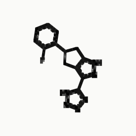 Fc1ccccc1C1Cc2[nH]nc(-c3nnn[nH]3)c2C1